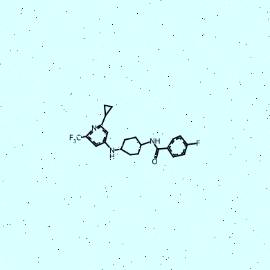 O=C(NC1CCC(Nc2cc(C3CC3)nc(C(F)(F)F)c2)CC1)c1ccc(F)cc1